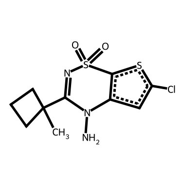 CC1(C2=NS(=O)(=O)c3sc(Cl)cc3N2N)CCC1